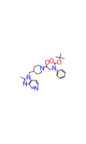 Cc1nc2cnccc2n1CC1CCN(C(=O)CN(C(=O)OC(C)(C)C)c2ccccc2)CC1